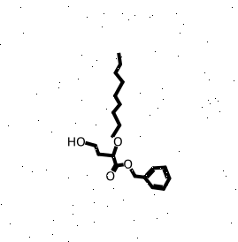 CCCCCCCCCOC(CCO)C(=O)OCc1ccccc1